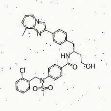 Cc1cccn2cc(-c3ccc(C[C@@H](CCO)NC(=O)c4ccc(N(Cc5ccccc5Cl)S(C)(=O)=O)cc4)cc3)nc12